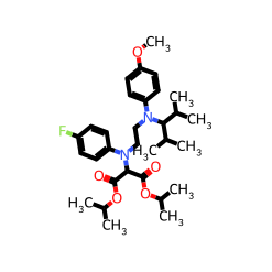 COc1ccc(N(CCN(c2ccc(F)cc2)C(C(=O)OC(C)C)C(=O)OC(C)C)C(C(C)C)C(C)C)cc1